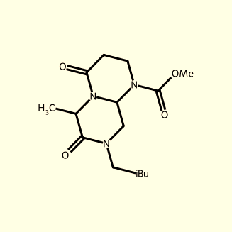 CCC(C)CN1CC2N(C(=O)OC)CCC(=O)N2C(C)C1=O